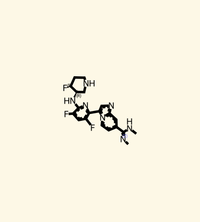 C/N=C(\NC)c1ccn2c(-c3nc(N[C@@H]4CNCC[C@H]4F)c(F)cc3F)cnc2c1